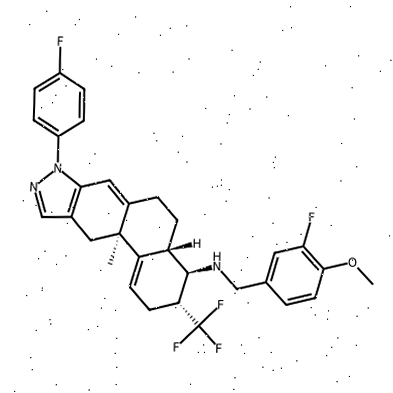 COc1ccc(CN[C@H]2[C@H](C(F)(F)F)CC=C3[C@@H]2CCC2=Cc4c(cnn4-c4ccc(F)cc4)C[C@@]23C)cc1F